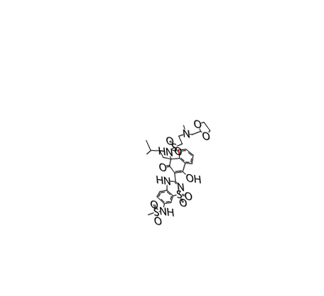 CC(C)CCC1(NS(=O)(=O)CCN(C)CC2OCCO2)C(=O)C(C2=NS(=O)(=O)c3cc(NS(C)(=O)=O)ccc3N2)=C(O)c2ccccc21